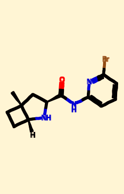 C[C@]12CC[C@H]1N[C@H](C(=O)Nc1cccc(Br)n1)C2